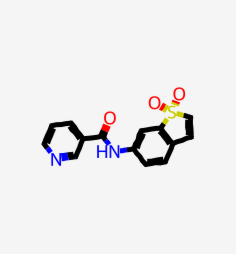 O=C(Nc1ccc2c(c1)S(=O)(=O)C=C2)c1cccnc1